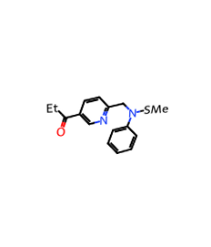 CCC(=O)c1ccc(CN(SC)c2ccccc2)nc1